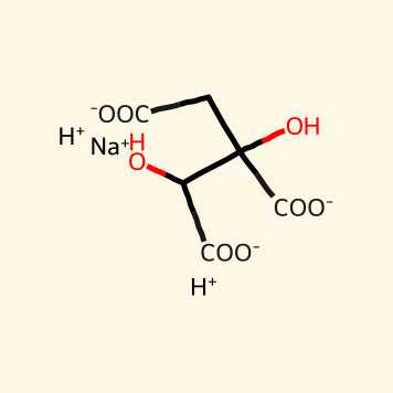 O=C([O-])CC(O)(C(=O)[O-])C(O)C(=O)[O-].[H+].[H+].[Na+]